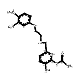 COc1ccc(OCCOCc2ccc(C(C)(C)C)c(OC(N)=O)n2)cc1[N+](=O)[O-]